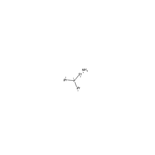 CCP(C(C)C)C(C)C.N